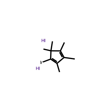 CC1=C(C)C(C)(C)[C]([Ir])=C1C.I.I